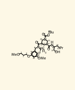 COCCCOc1cc(CN(C(=O)[C@@H]2C[C@H](C(=O)NC(CO)CC(C)C)CN(C(=O)OC(C)(C)C)C2)[C@H](C)I)cc(OC)c1